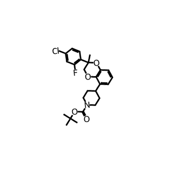 CC(C)(C)OC(=O)N1CCC(c2cccc3c2OCC(C)(c2ccc(Cl)cc2F)O3)CC1